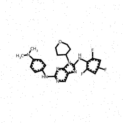 CN(C)c1ccc(Nc2ncc3nc(Nc4c(F)cc(F)cc4F)n(C4CCOCC4)c3n2)cc1